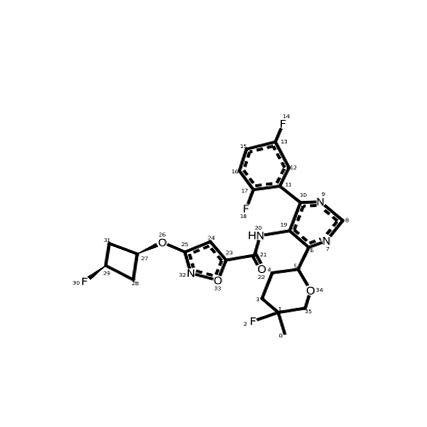 CC1(F)CCC(c2ncnc(-c3cc(F)ccc3F)c2NC(=O)c2cc(O[C@H]3C[C@@H](F)C3)no2)OC1